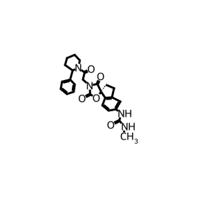 CNC(=O)Nc1ccc2c(c1)CC[C@@]21OC(=O)N(CC(=O)N2CCCCC2c2ccccc2)C1=O